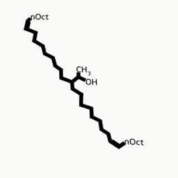 CCCCCCCC/C=C\CCCCCCCCC(CCCCCCCC/C=C\CCCCCCCC)C(C)O